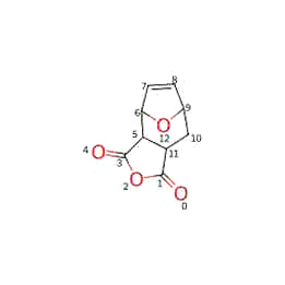 O=C1OC(=O)C2C3C=CC(CC12)O3